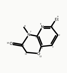 CCc1ccc2c(n1)N(C)C(=O)CO2